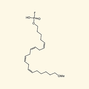 COCCCCC/C=C\C/C=C\C/C=C\C/C=C\CCCCOP(=O)(O)F